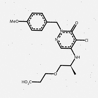 COc1ccc(Cn2ncc(N[C@@H](C)COCCC(=O)O)c(Cl)c2=O)cc1